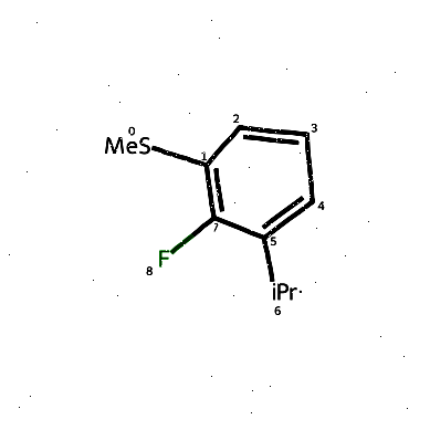 CSc1cccc([C](C)C)c1F